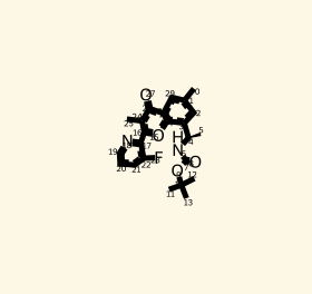 Cc1cc([C@@H](C)NC(=O)OC(C)(C)C)c2oc(-c3ncccc3F)c(C)c(=O)c2c1